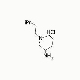 CC(C)CCN1CCCC(N)C1.Cl